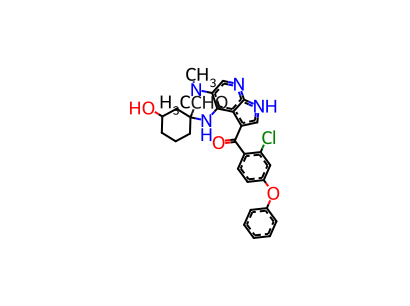 CN(C)c1cnc2[nH]cc(C(=O)c3ccc(Oc4ccccc4)cc3Cl)c2c1NC1(C=O)CCCC(O)C1